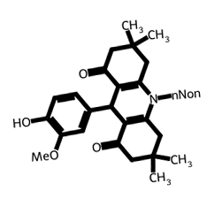 CCCCCCCCCN1C2=C(C(=O)CC(C)(C)C2)C(c2ccc(O)c(OC)c2)C2=C1CC(C)(C)CC2=O